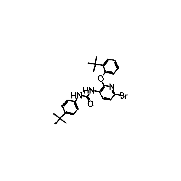 CC(C)(C)c1ccc(NC(=O)Nc2ccc(Br)nc2Oc2ccccc2C(C)(C)C)cc1